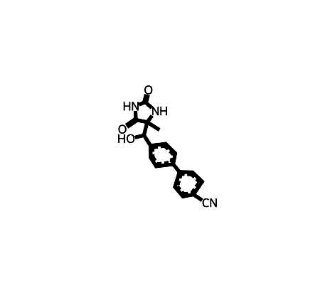 CC1(C(O)c2ccc(-c3ccc(C#N)cc3)cc2)NC(=O)NC1=O